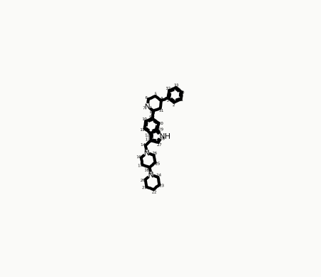 c1ccc(C2CC[N]C(c3ccc4c(CN5CCC(N6CCCCC6)CC5)c[nH]c4c3)C2)cc1